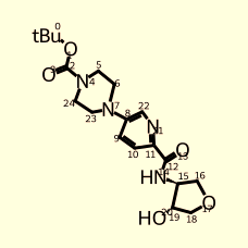 CC(C)(C)OC(=O)N1CCN(c2ccc(C(=O)N[C@H]3COC[C@@H]3O)nc2)CC1